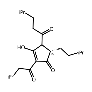 CC(C)CCC(=O)C1C(O)=C(C(=O)CC(C)C)C(=O)[C@H]1CCC(C)C